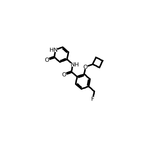 O=C(Nc1cc[nH]c(=O)c1)c1ccc(CF)cc1OC1CCC1